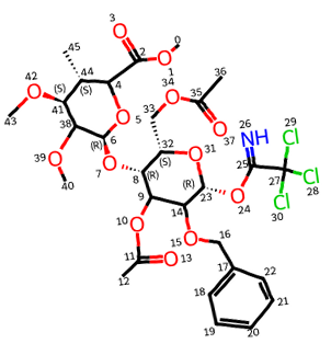 COC(=O)C1O[C@@H](O[C@H]2C(OC(C)=O)C(OCc3ccccc3)[C@@H](OC(=N)C(Cl)(Cl)Cl)O[C@H]2COC(C)=O)C(OC)[C@@H](OC)[C@@H]1C